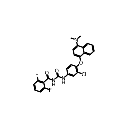 CN(C)c1ccc(Oc2ccc(NC(=O)NC(=O)c3c(F)cccc3F)cc2Cl)c2ccccc12